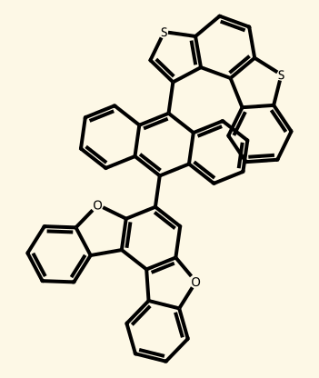 c1ccc2c(c1)oc1cc(-c3c4ccccc4c(-c4csc5ccc6sc7ccccc7c6c45)c4ccccc34)c3oc4ccccc4c3c12